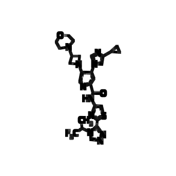 CC(n1cnnc1-c1nc(NC(=O)c2cc(-n3cnc(C4CC4)c3)c(N3CC(N4CCOCC4)C3)cn2)cs1)C(F)(F)F